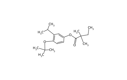 CCC(C)(C)C(=O)Oc1ccc(OC(C)(C)C)c(C(C)C)c1